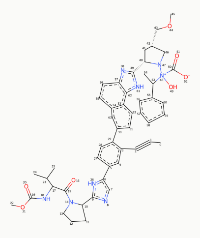 CC#Cc1cc(-c2cnc(C3CCCN3C(=O)C(NC(=O)OC)C(C)C)[nH]2)ccc1-c1ccc2c(ccc3nc([C@@H]4C[C@H](COC)CN4[N+](O)(C(=O)[O-])C(C)c4ccccc4)[nH]c32)c1